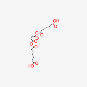 O=C(O)CCCCCC(=O)OC(=O)/C=C\C(=O)OC(=O)CCCCCC(=O)O